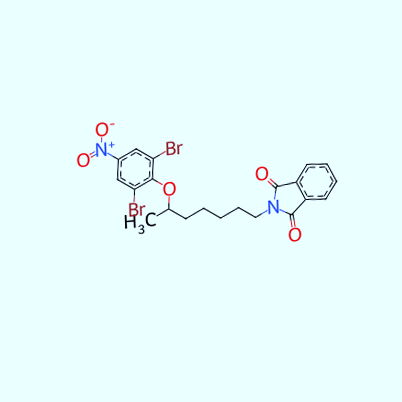 CC(CCCCCN1C(=O)c2ccccc2C1=O)Oc1c(Br)cc([N+](=O)[O-])cc1Br